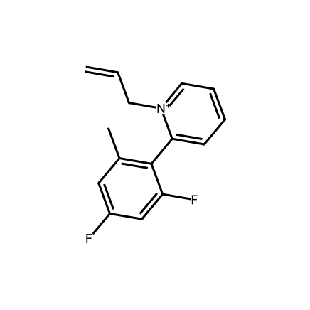 C=CC[n+]1ccccc1-c1c(C)cc(F)cc1F